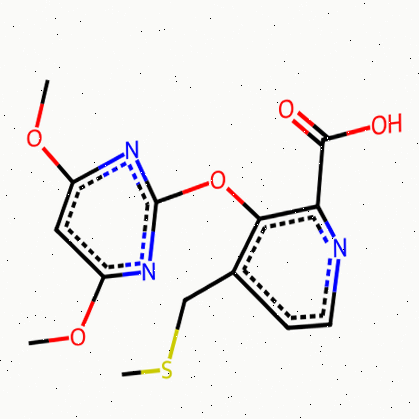 COc1cc(OC)nc(Oc2c(CSC)ccnc2C(=O)O)n1